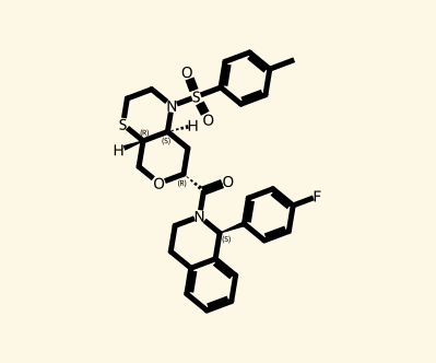 Cc1ccc(S(=O)(=O)N2CCS[C@H]3CO[C@@H](C(=O)N4CCc5ccccc5[C@@H]4c4ccc(F)cc4)C[C@@H]32)cc1